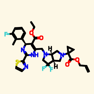 C=CCOC(=O)C1(N2C[C@@H]3[C@H](C2)N(CC2=C(C(=O)OCC)[C@H](c4cccc(F)c4C)N=C(c4nccs4)N2)CC3(F)F)CC1